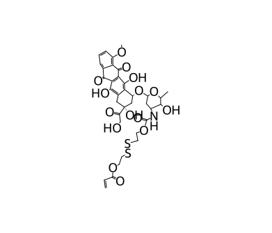 C=CC(=O)OCCSSCCOC(=O)NC1CC(O[C@@H]2C[C@@](O)(C(=O)CO)Cc3c(O)c4c(c(O)c32)C(=O)c2c(OC)cccc2C4=O)OC(C)C1O